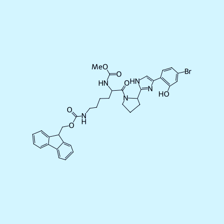 COC(=O)NC(CCCCNC(=O)OCC1c2ccccc2-c2ccccc21)C(=O)N1CCCC1c1nc(-c2ccc(Br)cc2O)c[nH]1